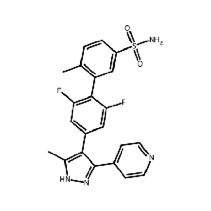 Cc1ccc(S(N)(=O)=O)cc1-c1c(F)cc(-c2c(-c3ccncc3)n[nH]c2C)cc1F